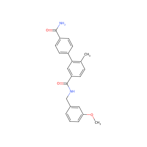 COc1cccc(CNC(=O)c2ccc(C)c(-c3ccc(C(N)=O)cc3)c2)c1